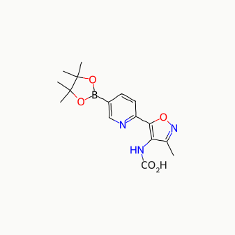 Cc1noc(-c2ccc(B3OC(C)(C)C(C)(C)O3)cn2)c1NC(=O)O